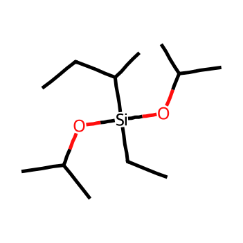 CCC(C)[Si](CC)(OC(C)C)OC(C)C